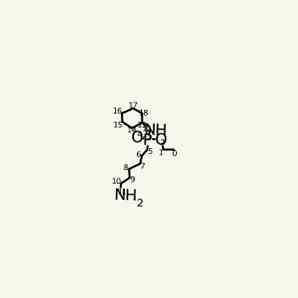 CCOP(=O)(CCCCCCN)NC1CCCCC1